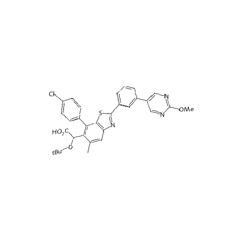 COc1ncc(-c2cccc(-c3nc4cc(C)c(C(OC(C)(C)C)C(=O)O)c(-c5ccc(Cl)cc5)c4s3)c2)cn1